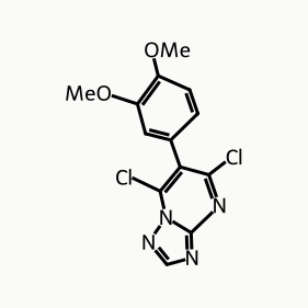 COc1ccc(-c2c(Cl)nc3ncnn3c2Cl)cc1OC